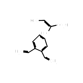 C/C=C(\C)C(=O)O.C=Cc1ccccc1C=C